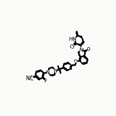 C=C1CC[C@H](N2Cc3c(OCc4ccc(C(C)(C)N5CCN(c6ccc(C#N)cc6F)CC5)cc4)cccc3C2=O)C(=O)N1